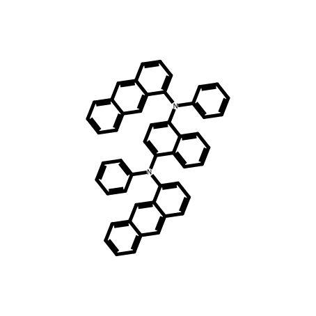 c1ccc(N(c2cccc3cc4ccccc4cc23)c2ccc(N(c3ccccc3)c3cccc4cc5ccccc5cc34)c3ccccc23)cc1